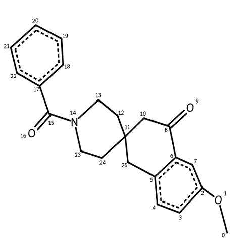 COc1ccc2c(c1)C(=O)CC1(CCN(C(=O)c3ccccc3)CC1)C2